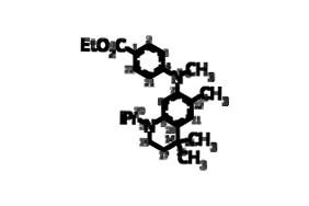 CCOC(=O)c1ccc(N(C)c2cc3c(cc2C)C(C)(C)CCN3C(C)C)cc1